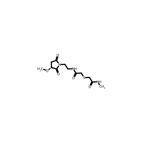 CNC(=O)CSCC(=O)NCCN1C(=O)C[C@H](OC)C1=O